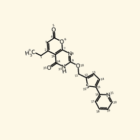 CCc1cc(=O)oc2nc(OCc3ccc(-c4ccccn4)s3)[nH]c(=O)c12